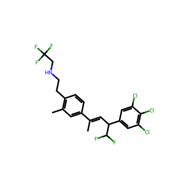 C/C(=C\C(c1cc(Cl)c(Cl)c(Cl)c1)C(F)F)c1ccc(CCNCC(F)(F)F)c(C)c1